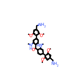 CNc1cc(-c2c(OC)cc(CN)cc2OC)ccc1C(=O)c1ccc(-c2c(OC)cc(CN)cc2OC)cc1NC